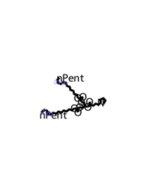 CCCCC/C=C\C/C=C\CCCCCCCCOC(=O)OCC(COC(=O)OCCCCCC/C=C\C/C=C\CCCCC)OC(=O)CCCN1CCCC1